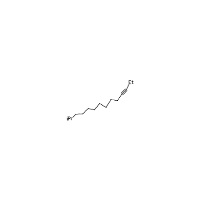 CCC#CCCCCCCCCC(C)C